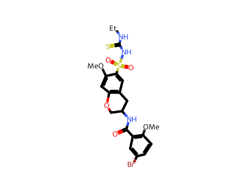 CCNC(=S)NS(=O)(=O)c1cc2c(cc1OC)OCC(NC(=O)c1cc(Br)ccc1OC)C2